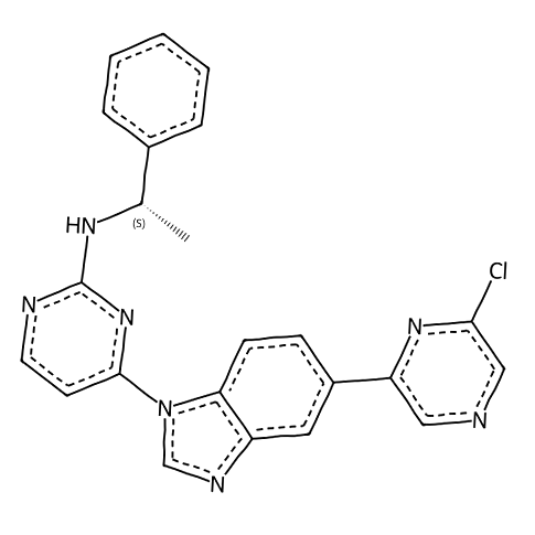 C[C@H](Nc1nccc(-n2cnc3cc(-c4cncc(Cl)n4)ccc32)n1)c1ccccc1